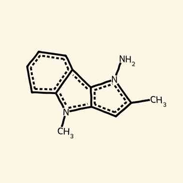 Cc1cc2c(c3ccccc3n2C)n1N